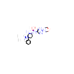 Cc1nc(N2CCOCC2)ncc1N1C[C@]2(CC[C@](c3ccccc3)(N(C)C)CC2)NC1=O